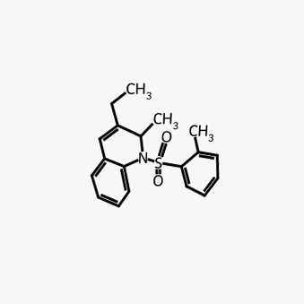 CCC1=Cc2ccccc2N(S(=O)(=O)c2ccccc2C)C1C